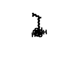 CC(C)=CCCC(C)=CCCCCCCCC(P(=O)(O)O)P(=O)(O)O